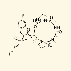 CCC/C=C/C(=O)N[C@@H](Cc1ccc(F)cc1)C(=O)N[C@H]1COC(=O)[C@@H]2CCCN2C(=O)[C@H](C)NC(=O)[C@H](C)N(C)C(=O)[C@@H]2CCCN2C1=O